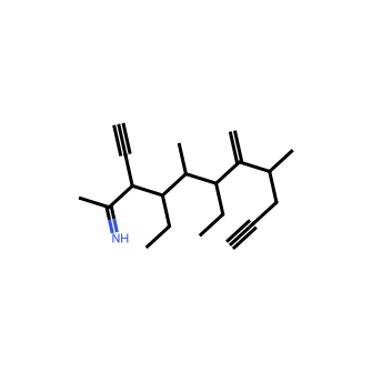 C#CCC(C)C(=C)C(CC)C(C)C(CC)C(C#C)C(C)=N